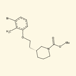 Cc1c(Br)cccc1OCC[C@H]1CCCN(C(=O)OC(C)(C)C)C1